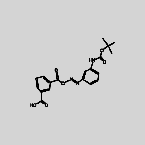 CC(C)(C)OC(=O)Nc1cccc(N=NOC(=O)c2cccc(C(=O)O)c2)c1